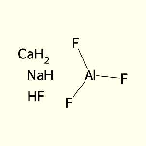 F.[CaH2].[F][Al]([F])[F].[NaH]